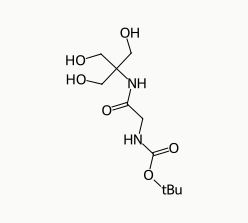 CC(C)(C)OC(=O)NCC(=O)NC(CO)(CO)CO